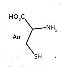 NC(CS)C(=O)O.[Au]